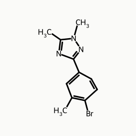 Cc1cc(-c2nc(C)n(C)n2)ccc1Br